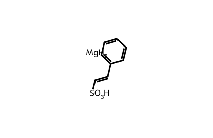 O=S(=O)(O)C=Cc1ccccc1.[MgH2]